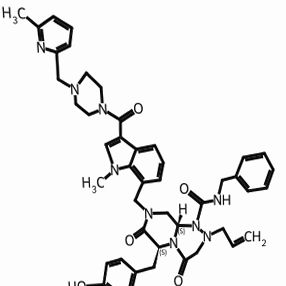 C=CCN1CC(=O)N2[C@@H](Cc3ccc(O)cc3)C(=O)N(Cc3cccc4c(C(=O)N5CCN(Cc6cccc(C)n6)CC5)cn(C)c34)C[C@@H]2N1C(=O)NCc1ccccc1